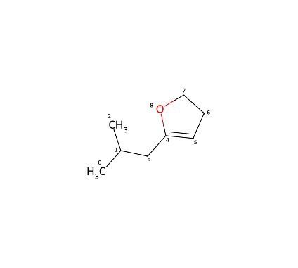 CC(C)CC1=CCCO1